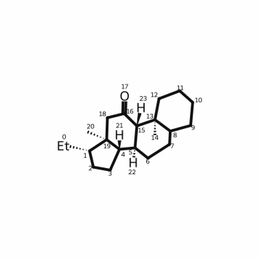 CC[C@H]1CC[C@H]2[C@@H]3CCC4CCCC[C@]4(C)[C@H]3C(=O)C[C@]12C